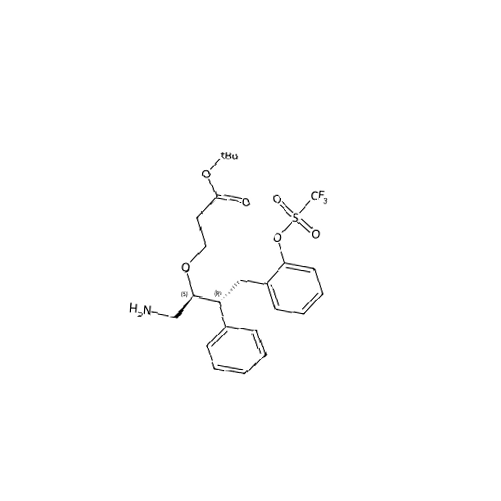 CC(C)(C)OC(=O)CCO[C@H](CN)[C@H](Cc1ccccc1OS(=O)(=O)C(F)(F)F)c1ccccc1